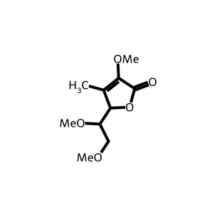 COCC(OC)C1OC(=O)C(OC)=C1C